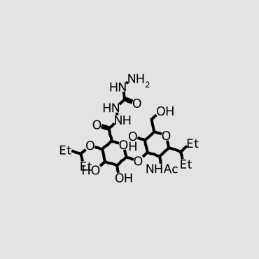 CCC(CC)OC1C(C(=O)NNC(=O)NN)OC(OC2C(O)C(CO)OC(C(CC)CC)C2NC(C)=O)C(O)C1O